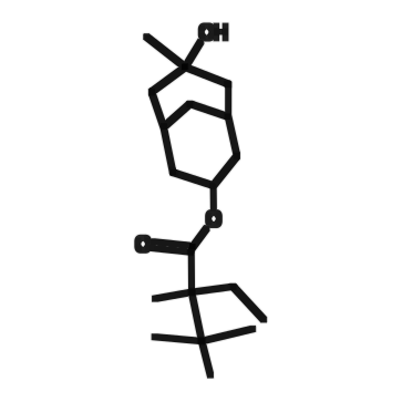 CCC(C)(C(=O)OC1CC2CC(C1)CC(C)(O)C2)C(C)(C)C